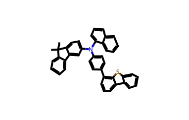 CC1(C)c2ccccc2-c2cc(N(c3ccc(-c4cccc5c4sc4ccccc45)cc3)c3cccc4ccccc34)ccc21